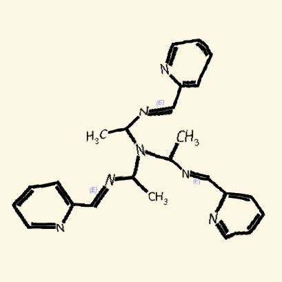 CC(/N=C/c1ccccn1)N(C(C)/N=C/c1ccccn1)C(C)/N=C/c1ccccn1